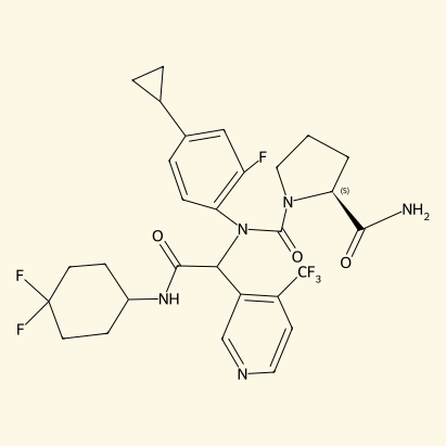 NC(=O)[C@@H]1CCCN1C(=O)N(c1ccc(C2CC2)cc1F)C(C(=O)NC1CCC(F)(F)CC1)c1cnccc1C(F)(F)F